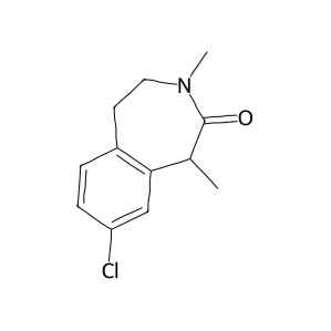 CC1C(=O)N(C)CCc2ccc(Cl)cc21